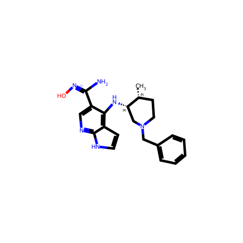 C[C@@H]1CCN(Cc2ccccc2)C[C@@H]1Nc1c(/C(N)=N\O)cnc2[nH]ccc12